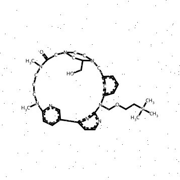 CN1CCCN(C)c2ccc(cn2)-c2ccnc(n2)N(COCC[Si](C)(C)C)c2cccc(c2)CN2CCN(CC1=O)CC2CO